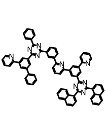 c1ccc(-c2cc(-c3ccccn3)cc(-c3nc(-c4ccccc4)nc(-c4cccc(-c5cccc(-c6cc(-c7ccccn7)cc(-c7nc(-c8cccc9ccccc89)nc(-c8cccc9ccccc89)n7)c6)n5)c4)n3)c2)cc1